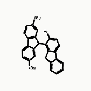 CCc1ccc2c(c1C1c3cc(C(C)(C)C)ccc3-c3ccc(C(C)(C)C)cc31)Cc1ccccc1-2